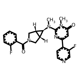 CN(c1nc(-c2ccncc2F)cc(=O)n1C)[C@H]1[C@@H]2CN(C(=O)c3ccccc3F)C[C@@H]21